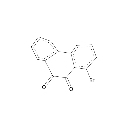 O=C1C(=O)c2c(Br)cccc2-c2ccccc21